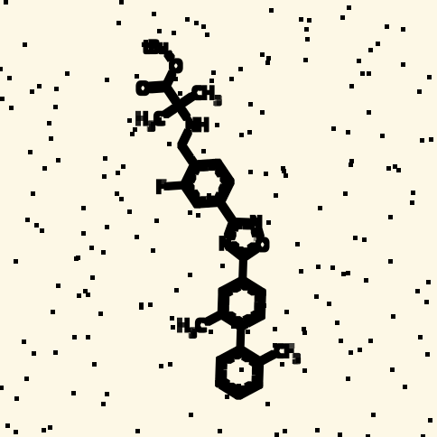 Cc1cc(-c2nc(-c3ccc(CNC(C)(C)C(=O)OC(C)(C)C)c(F)c3)no2)ccc1-c1ccccc1C(F)(F)F